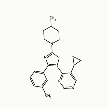 Cc1cccc(-c2nc(N3CCC(C)CC3)sc2-c2n[c]ncc2C2CC2)c1